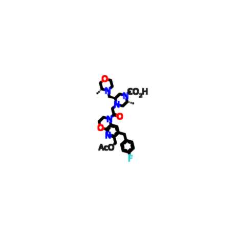 CC(=O)OCc1nc2c(cc1Cc1ccc(F)cc1)N(C(=O)CN1C[C@@H](C)N(C(=O)O)C[C@@H]1CN1CCOC[C@H]1C)CCO2